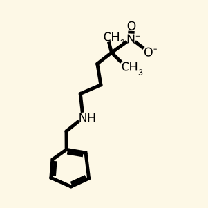 CC(C)(CCCNCc1ccccc1)[N+](=O)[O-]